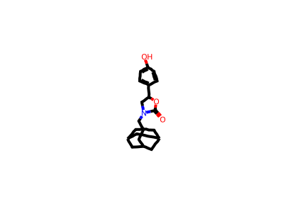 O=C1OC(c2ccc(O)cc2)CN1CC12CC3CC(CC(C3)C1)C2